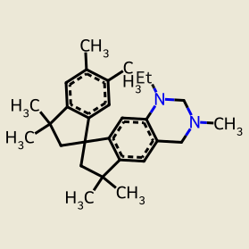 CCN1CN(C)Cc2cc3c(cc21)C1(CC(C)(C)c2cc(C)c(C)cc21)CC3(C)C